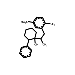 Cc1ccc(S(=O)(=O)O)cc1CC(C)C1(O)CCCCC1c1ccccc1